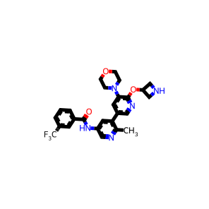 Cc1ncc(NC(=O)c2cccc(C(F)(F)F)c2)cc1-c1cnc(OC2CNC2)c(N2CCOCC2)c1